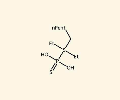 CCCCCCS(CC)(CC)P(O)(O)=S